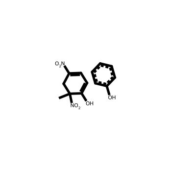 CC1([N+](=O)[O-])CC([N+](=O)[O-])=CC=C1O.Oc1ccccc1